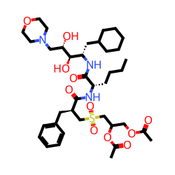 CCCC[C@H](NC(=O)[C@H](Cc1ccccc1)CS(=O)(=O)CC(COC(C)=O)OC(C)=O)C(=O)N[C@@H](CC1CCCCC1)[C@@H](O)[C@@H](O)CN1CCOCC1